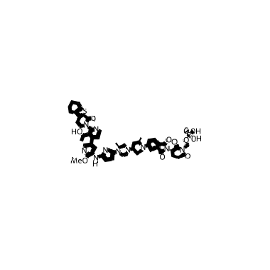 COc1ncc(-c2ccnc(N3CCc4c(sc5c4CCCC5)C3=O)c2C(C)O)cc1Nc1ccc(N2CCN(C3CCN(c4ccc5c(c4)C(=O)N([C@H]4CCC(=O)N(COP(=O)(O)O)C4=O)C5=O)[C@H](C)C3)C[C@@H]2C)cn1